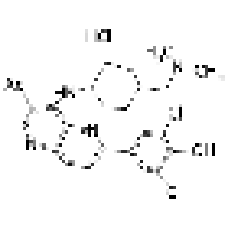 CC(=O)c1cnc2ccc(-c3cc(Cl)c(O)c(Cl)c3)nc2c1NC1CCC(CN(C)C)CC1.Cl